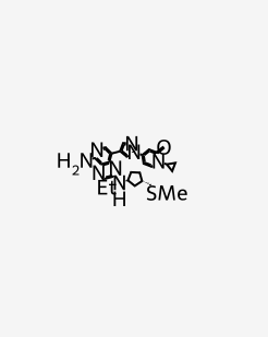 CCc1nc2c(N)ncc(-c3cnn(-c4ccn(C5CC5)c(=O)c4)c3)c2nc1N[C@@H]1CC[C@H](CSC)C1